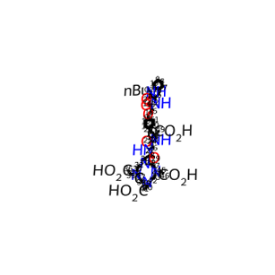 CCCCNC(=O)C(Cc1ccccc1)NC(=O)COc1ccc(CC(NC(=O)CNC(=O)CN2CCN(CC(=O)O)CCN(CC(=O)O)CCN(CC(=O)O)CC2)C(=O)O)cc1